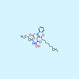 CCCCCCCC(=O)N(CC(=O)NO)[C@H](CC(=O)OC(C)C)c1ccccc1